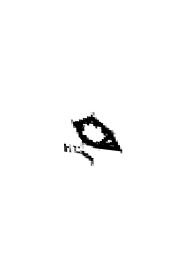 CC#N.c1cc2cc-2c1